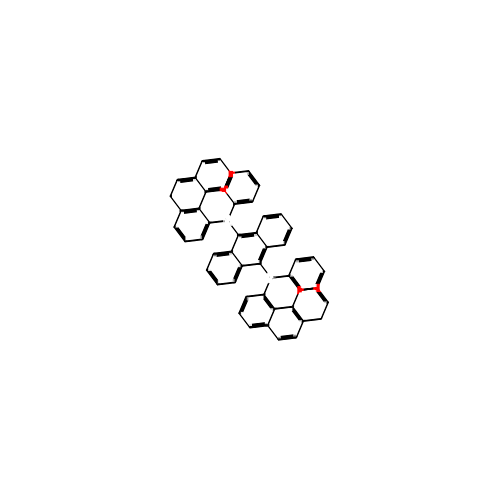 C1=CC2=CCc3cccc(N(c4ccccc4)c4c5ccccc5c(N(c5ccccc5)c5cccc6ccc7c(c56)CC=CC7)c5ccccc45)c3C2=CC1